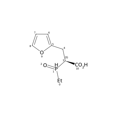 CC[PH](=O)[C@@H](Cc1ccco1)C(=O)O